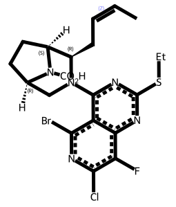 C/C=C\C[C@@H]1[C@@H]2CC[C@H](CN1c1nc(SCC)nc3c(F)c(Cl)nc(Br)c13)N2C(=O)O